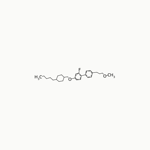 CCCCCC1CCC(COc2ccc(-c3ccc(CCCOC)cc3)c(F)c2)CC1